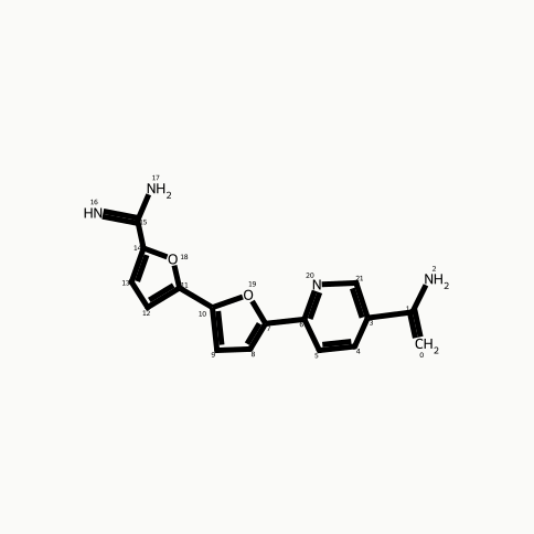 C=C(N)c1ccc(-c2ccc(-c3ccc(C(=N)N)o3)o2)nc1